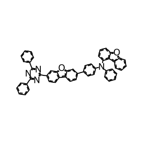 c1ccc(-c2nc(-c3ccccc3)nc(-c3ccc4c(c3)oc3cc(-c5ccc(N(c6ccccc6)c6cccc7oc8ccccc8c67)cc5)ccc34)n2)cc1